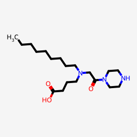 CCCCCCCCCN(CCCC(=O)O)CC(=O)N1CCNCC1